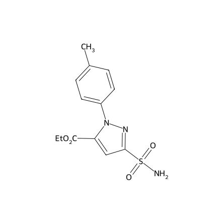 CCOC(=O)c1cc(S(N)(=O)=O)nn1-c1ccc(C)cc1